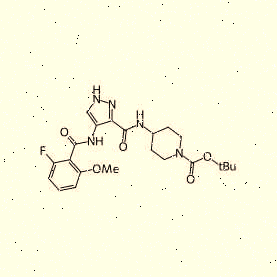 COc1cccc(F)c1C(=O)Nc1c[nH]nc1C(=O)NC1CCN(C(=O)OC(C)(C)C)CC1